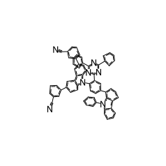 N#Cc1cccc(-c2ccc3c(c2)c2cc(-c4cccc(C#N)c4)ccc2n3-c2ccc(-c3cccc4c5ccccc5n(-c5ccccc5)c34)cc2-c2nc(-c3ccccc3)nc(-c3ccccc3)n2)c1